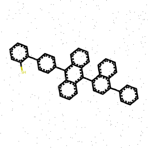 Sc1ccccc1-c1ccc(-c2c3ccccc3c(-c3ccc(-c4ccccc4)c4ccccc34)c3ccccc23)cc1